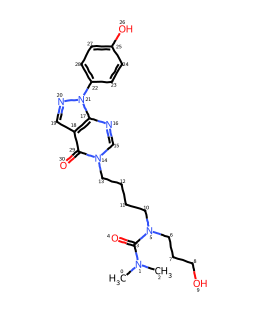 CN(C)C(=O)N(CCCO)CCCCn1cnc2c(cnn2-c2ccc(O)cc2)c1=O